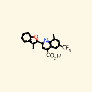 Cc1c(-c2cc(C(=O)O)c3cc(C(F)(F)F)cc(C)c3n2)oc2ccccc12